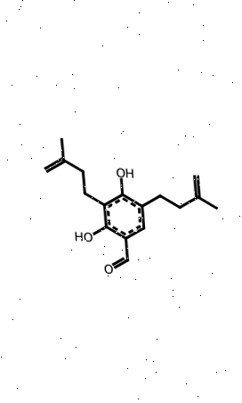 C=C(C)CCc1cc(C=O)c(O)c(CCC(=C)C)c1O